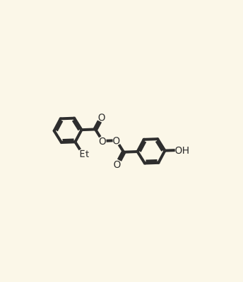 CCc1ccccc1C(=O)OOC(=O)c1ccc(O)cc1